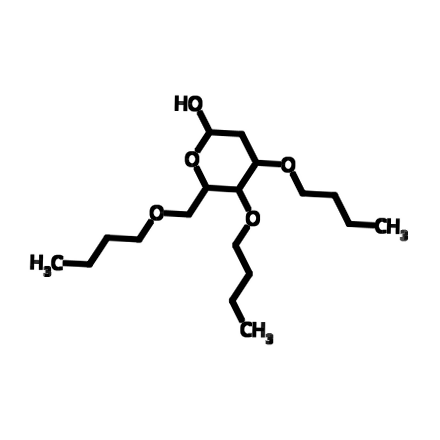 CCCCOCC1OC(O)CC(OCCCC)C1OCCCC